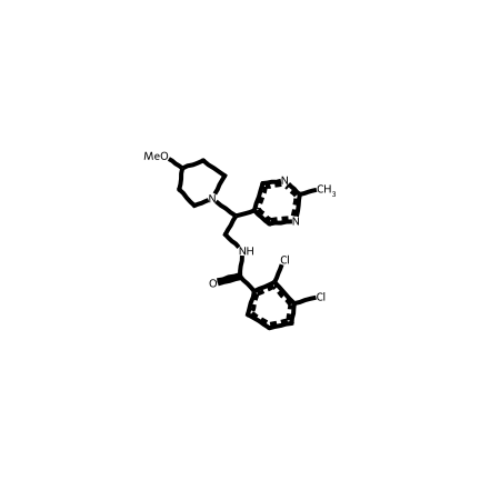 COC1CCN(C(CNC(=O)c2cccc(Cl)c2Cl)c2cnc(C)nc2)CC1